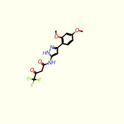 COc1ccc(-c2cc(NC(=O)CC(=O)C(F)(F)F)[nH]n2)c(OC)c1